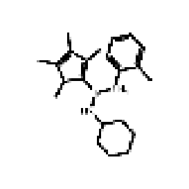 CC1=C(C)C(C)[C]([Ti]([NH]C2CCCCC2)[SiH2]c2ccccc2C)=C1C